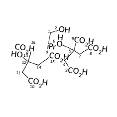 CC(C)CO.O=C(O)CC(O)(CC(=O)O)C(=O)O.O=C(O)CC(O)(CC(=O)O)C(=O)O